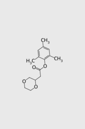 Cc1cc(C)c(OC(=O)CC2COCCO2)c(C)c1